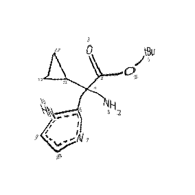 CC(C)(C)OC(=O)C(N)(c1ncc[nH]1)C1CC1